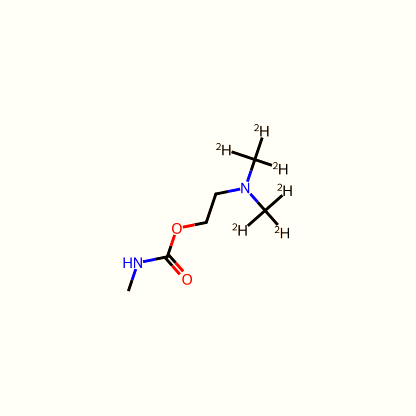 [2H]C([2H])([2H])N(CCOC(=O)NC)C([2H])([2H])[2H]